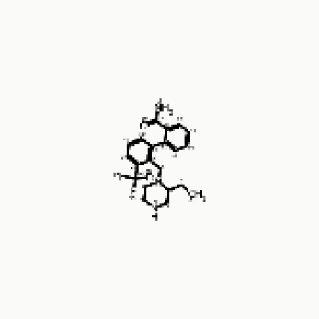 CCC1CNCCN1Cc1c(-c2ccccc2C(N)=O)cccc1C(F)(F)F